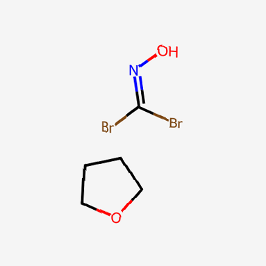 C1CCOC1.ON=C(Br)Br